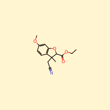 CCOC(=O)C1Oc2cc(OC)ccc2C1(C)CC#N